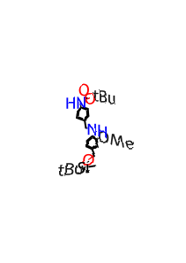 COc1cc(CO[Si](C)(C)C(C)(C)C)ccc1NCc1ccc(NC(=O)OC(C)(C)C)cc1